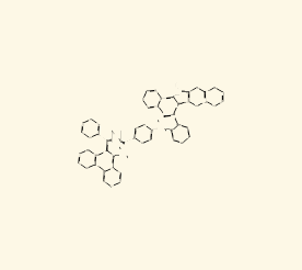 c1ccc(-c2nc(-c3ccc(-n4c5ccccc5c5c6c7cc8ccccc8cc7sc6c6ccccc6c54)cc3)nc3c4ccccc4c4ccccc4c23)cc1